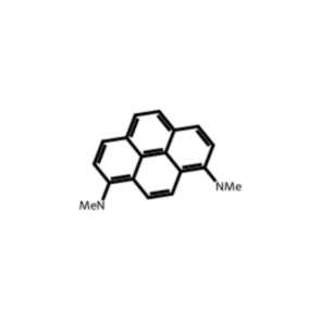 CNc1ccc2ccc3ccc(NC)c4ccc1c2c34